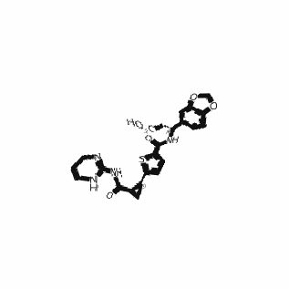 O=C(O)C[C@@H](NC(=O)c1ccc([C@H]2CC2C(=O)NC2=NCCCN2)s1)c1ccc2c(c1)OCO2